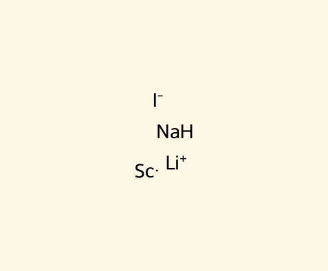 [I-].[Li+].[NaH].[Sc]